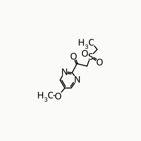 CCS(=O)(=O)CC(=O)c1ncc(OC)cn1